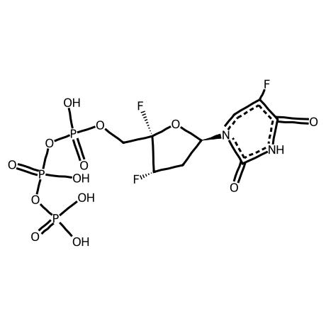 O=c1[nH]c(=O)n([C@H]2C[C@H](F)[C@@](F)(COP(=O)(O)OP(=O)(O)OP(=O)(O)O)O2)cc1F